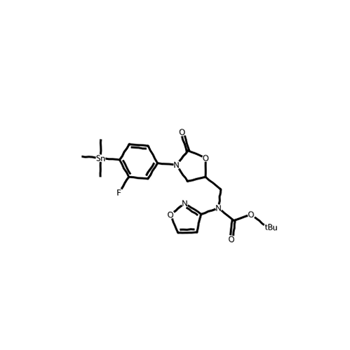 CC(C)(C)OC(=O)N(CC1CN(c2cc[c]([Sn]([CH3])([CH3])[CH3])c(F)c2)C(=O)O1)c1ccon1